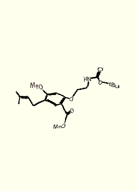 COC(=O)c1cc(CC=C(C)C)c(OC)cc1OCCNC(=O)OC(C)(C)C